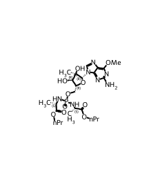 CCCOC(=O)[C@H](C)NP(=O)(N[C@@H](C)C(=O)OCCC)OC[C@H]1O[C@@H](n2cnc3c(OC)nc(N)nc32)[C@](C)(O)[C@@H]1O